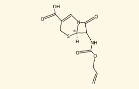 C=CCOC(=O)NC1C(=O)N2C=C(C(=O)O)CS[C@H]12